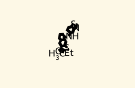 CCC1(C)Sc2cc3c(Nc4ccc5scnc5c4)cccc3cc2C1=O